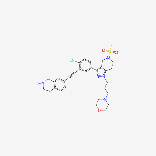 CS(=O)(=O)N1CCc2c(c(-c3ccc(Cl)c(C#Cc4ccc5c(c4)CNCC5)c3)nn2CCCN2CCOCC2)C1